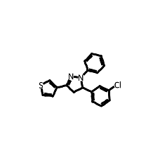 Clc1cccc(C2CC(c3ccsc3)=NN2c2ccccc2)c1